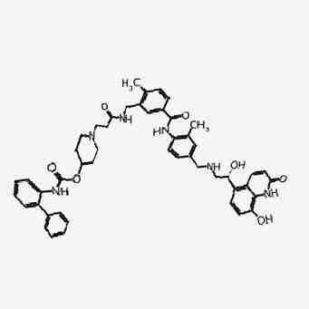 Cc1ccc(C(=O)Nc2ccc(CNC[C@H](O)c3ccc(O)c4[nH]c(=O)ccc34)cc2C)cc1CNC(=O)CCN1CCC(OC(=O)Nc2ccccc2-c2ccccc2)CC1